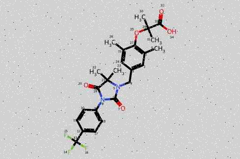 Cc1cc(CN2C(=O)N(c3ccc(C(F)(F)F)cc3)C(=O)C2(C)C)cc(C)c1OC(C)(C)C(=O)O